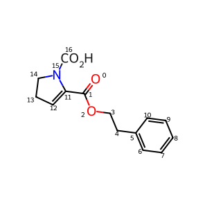 O=C(OCCc1ccccc1)C1=CCCN1C(=O)O